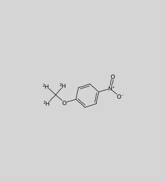 [2H]C([2H])([2H])Oc1ccc([N+](=O)[O-])cc1